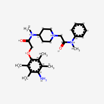 Cc1c(C)c(OCC(=O)N(C)C2CCN(CC(=O)N(C)c3ccccc3)CC2)c(C)c(C)c1N